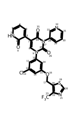 O=c1[nH]cccc1-c1cn(-c2cc(Cl)cc(OCc3scnc3C(F)(F)F)c2)c(=O)n(-c2cccnc2)c1=O